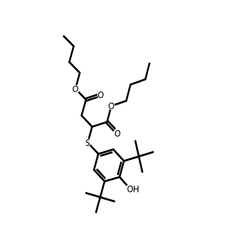 CCCCOC(=O)CC(Sc1cc(C(C)(C)C)c(O)c(C(C)(C)C)c1)C(=O)OCCCC